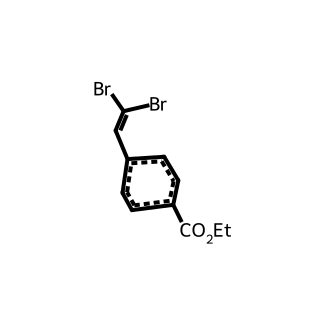 CCOC(=O)c1ccc(C=C(Br)Br)cc1